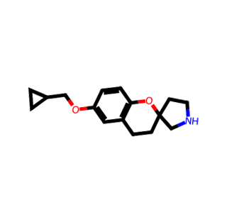 c1cc2c(cc1OCC1CC1)CCC1(CCNC1)O2